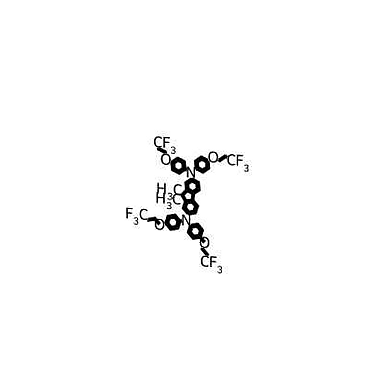 CC1(C)c2cc(N(c3ccc(OCCC(F)(F)F)cc3)c3ccc(OCCC(F)(F)F)cc3)ccc2-c2ccc(N(c3ccc(OCCC(F)(F)F)cc3)c3ccc(OCCC(F)(F)F)cc3)cc21